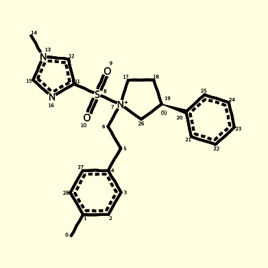 Cc1ccc(CC[N+]2(S(=O)(=O)c3cn(C)cn3)CC[C@@H](c3ccccc3)C2)cc1